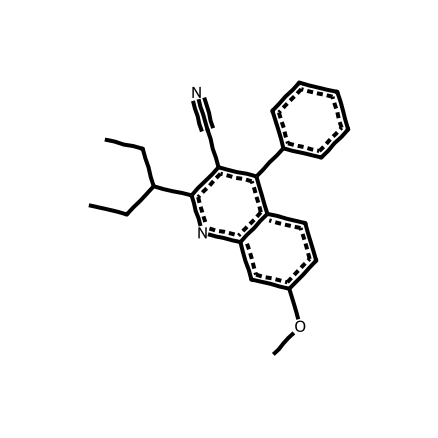 CCC(CC)c1nc2cc(OC)ccc2c(-c2ccccc2)c1C#N